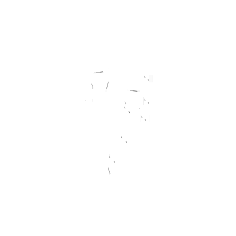 COc1cc(Cc2cnc(NC(C)CN3CCN(C(C)=O)CC3)nc2N)c(C(C)C)cc1OC